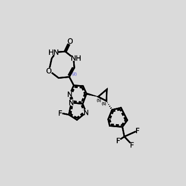 O=C1N/C=C(/c2cc([C@H]3C[C@@H]3c3ccc(C(F)(F)F)cc3)c3ncc(F)n3n2)COCN1